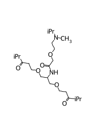 CC(C)C(=O)CCOCC(COCCC(=O)C(C)C)NC(=O)COCCN(C)C(C)C